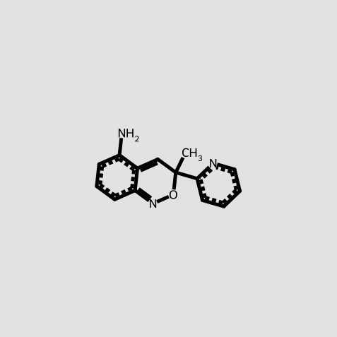 CC1(c2ccccn2)C=c2c(N)cccc2=NO1